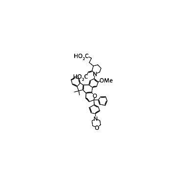 COc1cc2c3c(c4c(c2cc1N1CCCC(CCC(=O)O)/C1=C/C(=O)O)-c1ccccc1C4(C)C)C=CC(c1ccccc1)(c1ccc(N2CCOCC2)cc1)O3